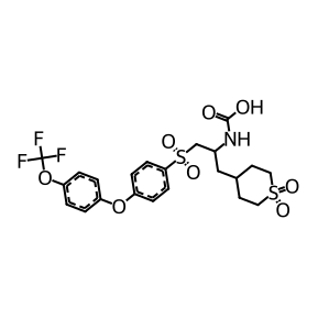 O=C(O)NC(CC1CCS(=O)(=O)CC1)CS(=O)(=O)c1ccc(Oc2ccc(OC(F)(F)F)cc2)cc1